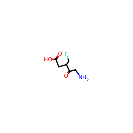 NCC(=O)C(CF)CC(=O)O